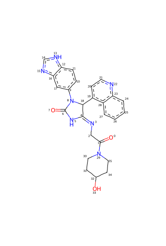 O=C(CN=C1NC(=O)N(c2ccc3[nH]cnc3c2)C1c1ccnc2ccccc12)N1CCC(O)CC1